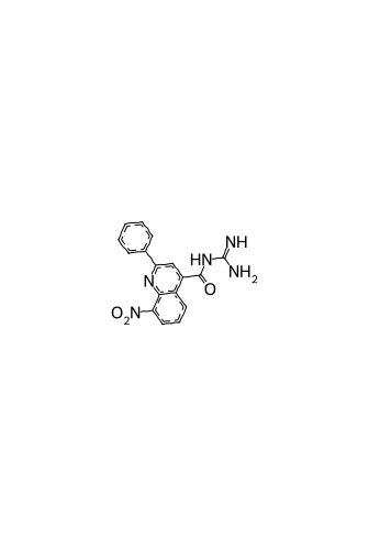 N=C(N)NC(=O)c1cc(-c2ccccc2)nc2c([N+](=O)[O-])cccc12